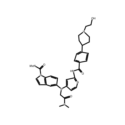 CNC(=O)n1ccc2cc(N(CC(=O)N(C)C)c3ccnc(NC(=O)c4ccc(C5CCN(CCO)CC5)cc4)c3)ccc21